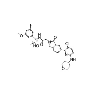 COc1cc(F)cc([C@H](NC(=O)CN2Cc3ccc(-c4nc(NC5CCOCC5)ncc4Cl)cc3C2=O)[C@H](C)O)c1